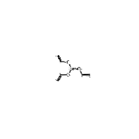 C=C[O][Bi]([O]C=C)[O]C=C